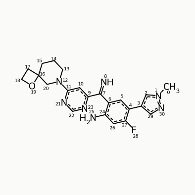 Cn1cc(-c2cc(C(=N)c3cc(N4CCCC5(CCO5)C4)ncn3)c(N)cc2F)cn1